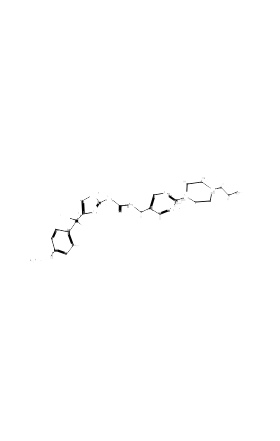 COc1ccc(C(C)(C)c2csc(NC(=O)NCc3cnc(N4CCN(CCO)CC4)nc3)n2)cc1